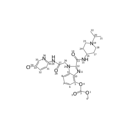 COC(=O)Oc1cccc2c1nc(C(=O)NC1CCN(C(C)C)CC1)n2CC(=O)Nc1ccc(Cl)cn1